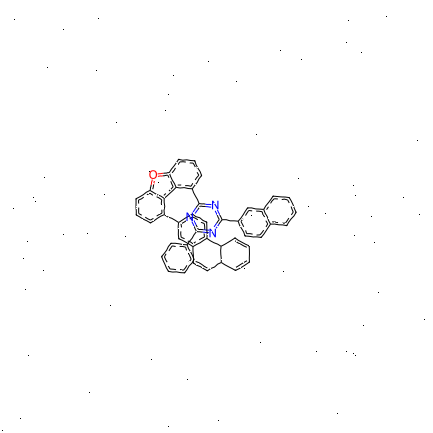 C1=CC2C=Cc3cc(-c4cccc5oc6cccc(-c7nc(-c8ccccc8)nc(-c8ccc9ccccc9c8)n7)c6c45)ccc3C2C=C1